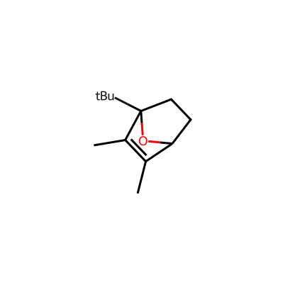 CC1=C(C)C2(C(C)(C)C)CCC1O2